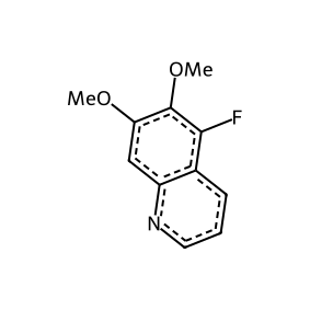 COc1cc2ncccc2c(F)c1OC